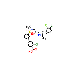 CN(CC(O)CNC(C)(C)Cc1ccc(Cl)c(F)c1)S(=O)(=O)c1cccc(-c2ccc(C(=O)O)c(Cl)c2)c1